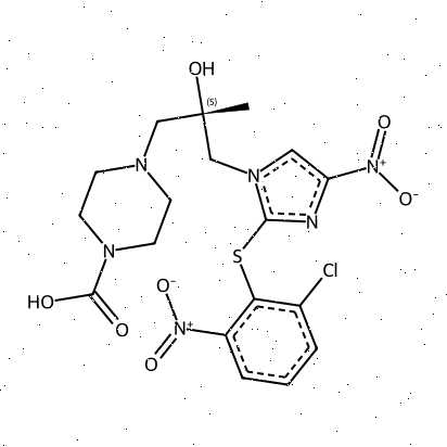 C[C@](O)(CN1CCN(C(=O)O)CC1)Cn1cc([N+](=O)[O-])nc1Sc1c(Cl)cccc1[N+](=O)[O-]